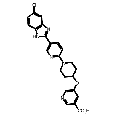 O=C(O)c1cncc(OC2CCN(c3ccc(-c4nc5cc(Cl)ccc5[nH]4)cn3)CC2)c1